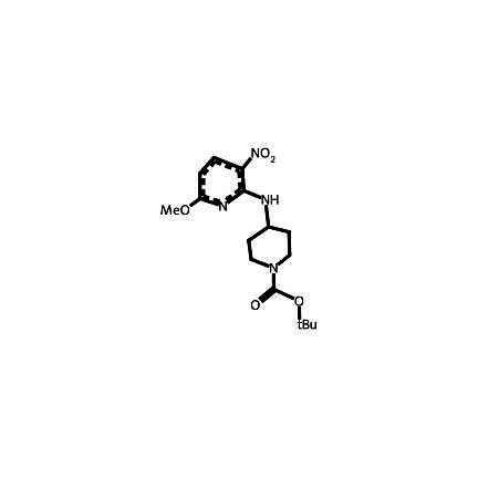 COc1ccc([N+](=O)[O-])c(NC2CCN(C(=O)OC(C)(C)C)CC2)n1